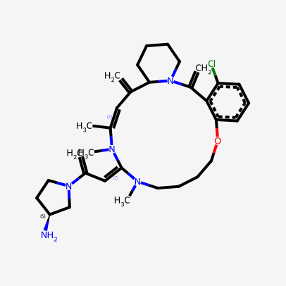 C=C1/C=C(/C)N(C)/C(=C\C(=C)N2CC[C@H](N)C2)N(C)CCCCOc2cccc(Cl)c2C(=C)N2CCCCC12